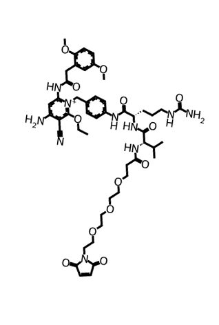 CCOc1c(C#N)c(N)cc(NC(=O)Cc2cc(OC)ccc2OC)[n+]1Cc1ccc(NC(=O)[C@H](CCCNC(N)=O)NC(=O)[C@@H](NC(=O)CCOCCOCCOCCN2C(=O)C=CC2=O)C(C)C)cc1